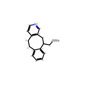 CNCC1Cc2cnccc2CCc2ccccc21